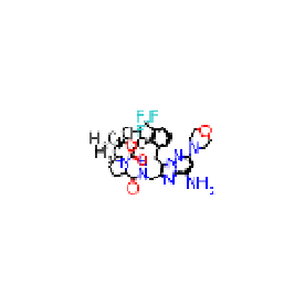 Cc1c(Cc2c(CNC(=O)C3CCCN3C(=O)OC(C)(C)C)nc3c(N)cc(N4CCOCC4)nn23)cccc1C(F)(F)F